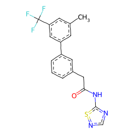 Cc1cc(-c2cccc(CC(=O)Nc3ncns3)c2)cc(C(F)(F)F)c1